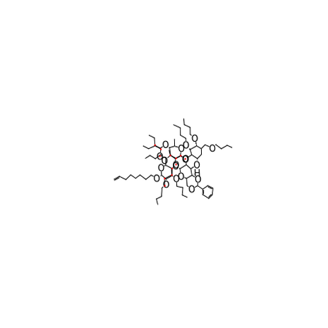 C=CCCCCCCO[C@@H]1OC(COCCCC)[C@@H](O[C@@H]2OC3COC(c4ccccc4)O[C@@H]3C(O[C@H]3CC(COCCCC)[C@H](OCCCC)[C@H](OCCCC)C3OCCCC)[C@@H]2O[C@@H]2OC(C)[C@@H](OCCCC)C(OCCCC)[C@@H]2OCCCC)C(OCCCC)[C@@H]1OCCCC